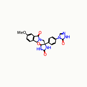 COc1ccc2c(c1)C(=O)N(C[C@@]1(c3ccc(-n4cn[nH]c4=O)cc3)NC(=O)NC1=O)C2